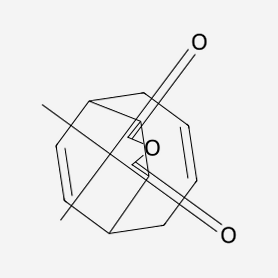 O=C1OC(=O)C2C3C=CC(C/C=C\C3)C12